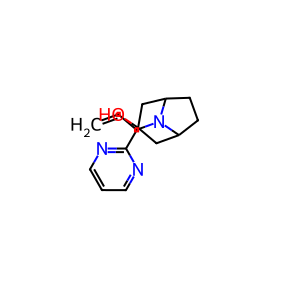 C=CCN1C2CCC1CC(O)(c1ncccn1)C2